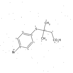 CC(C)(CC(=O)O)Sc1ccc(Br)cc1